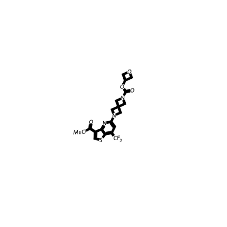 COC(=O)c1csc2c(C(F)(F)F)cc(N3CC4(CN(C(=O)OC5COC5)C4)C3)nc12